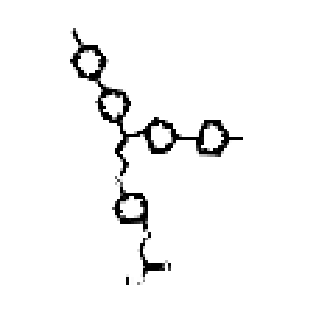 Cc1ccc(-c2ccc(C(=CCSc3ccc(OCC(=O)O)cc3)c3ccc(-c4ccc(C)cc4)cc3)cc2)cc1